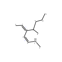 C/C=C(\C=C/NC)C(C)CCC